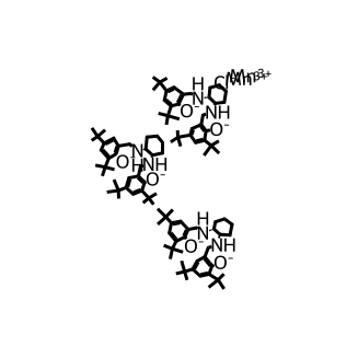 CC(C)(C)c1cc(CN[C@@H]2CCCC[C@H]2NCc2cc(C(C)(C)C)cc(C(C)(C)C)c2[O-])c([O-])c(C(C)(C)C)c1.CC(C)(C)c1cc(CN[C@@H]2CCCC[C@H]2NCc2cc(C(C)(C)C)cc(C(C)(C)C)c2[O-])c([O-])c(C(C)(C)C)c1.CC(C)(C)c1cc(CN[C@@H]2CCCC[C@H]2NCc2cc(C(C)(C)C)cc(C(C)(C)C)c2[O-])c([O-])c(C(C)(C)C)c1.[Cl-].[Mn+3].[Mn+3]